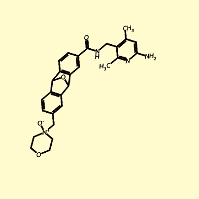 Cc1cc(N)nc(C)c1CNC(=O)c1ccc2c(c1)C1OC2c2ccc(C[N+]3([O-])CCOCC3)cc21